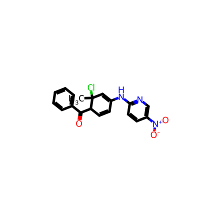 CC1(Cl)C=C(Nc2ccc([N+](=O)[O-])cn2)C=CC1C(=O)c1ccccc1